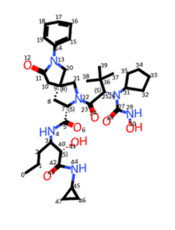 CCCC(NC(=O)[C@@H]1C[C@@]2(CC(=O)N(c3ccccc3)C2)CN1C(=O)[C@@H](N(C(=O)NO)C1CCCC1)C(C)(C)C)[C@H](O)C(=O)NC1CC1